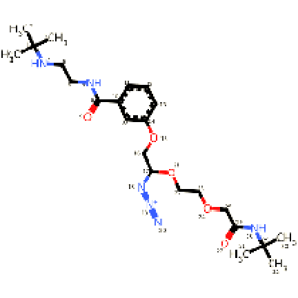 CC(C)(C)NCCNC(=O)c1cccc(OCC(N=[N+]=[N-])OCCOCC(=O)NC(C)(C)C)c1